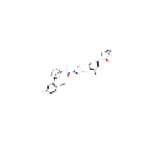 Cc1c([C@H](C)n2cc(C(=O)NC34CCCC(c5cc(Cl)ccc5C#N)(C3)C4)nn2)cnc(N2C[C@H]3C[C@H]3C2=O)c1C